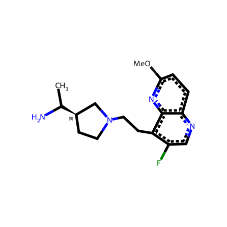 COc1ccc2ncc(F)c(CCN3CC[C@@H](C(C)N)C3)c2n1